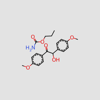 CCCOC(N)=O.COc1ccc(C(=O)C(O)c2ccc(OC)cc2)cc1